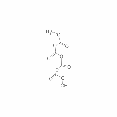 COC(=O)OC(=O)OC(=O)OC(=O)OO